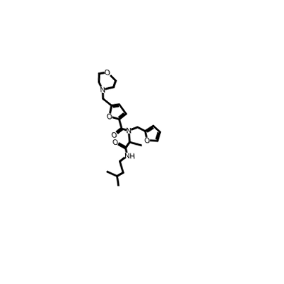 CC(C)CCNC(=O)C(C)N(Cc1ccco1)C(=O)c1ccc(CN2CCOCC2)o1